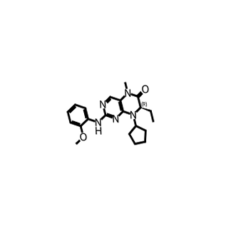 CC[C@@H]1C(=O)N(C)c2cnc(Nc3ccccc3OC)nc2N1C1CCCC1